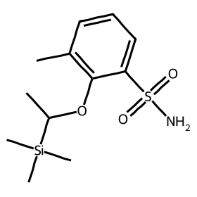 Cc1cccc(S(N)(=O)=O)c1OC(C)[Si](C)(C)C